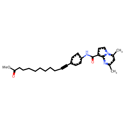 COC(=O)CCCCCCCCC#Cc1ccc(NC(=O)c2ccn3c(C)cc(C)nc23)cc1